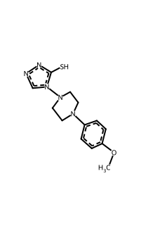 COc1ccc(N2CCN(n3cnnc3S)CC2)cc1